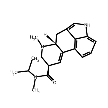 CC(C)N(C)C(=O)[C@@H]1C=C2c3cccc4[nH]cc(c34)C[C@H]2N(C)C1